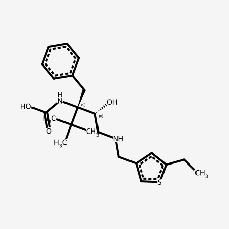 CCc1cc(CNC[C@@H](O)[C@@](Cc2ccccc2)(NC(=O)O)C(C)(C)C)cs1